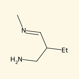 CCC(C=NC)CN